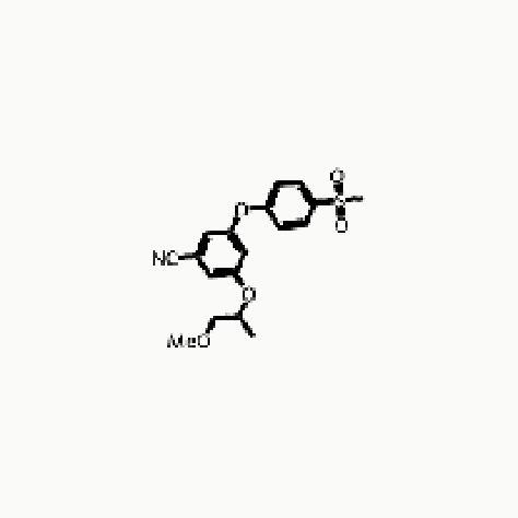 COCC(C)Oc1cc(C#N)cc(Oc2ccc(S(C)(=O)=O)cc2)c1